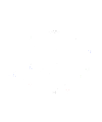 COc1ccc(C2(c3ccc(F)c(-c4cccnc4Cl)c3)COC(N)=N2)cc1Cl.O=CO